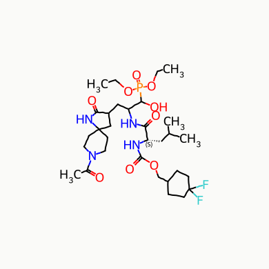 CCOP(=O)(OCC)C(O)C(CC1CC2(CCN(C(C)=O)CC2)NC1=O)NC(=O)[C@H](CC(C)C)NC(=O)OCC1CCC(F)(F)CC1